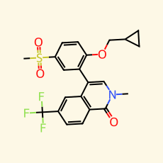 Cn1cc(-c2cc(S(C)(=O)=O)ccc2OCC2CC2)c2cc(C(F)(F)F)ccc2c1=O